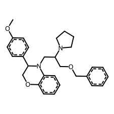 COc1ccc(C2COc3ccccc3N2CC(COCc2ccccc2)N2CCCC2)cc1